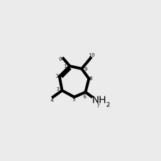 CC1=CC(C)CC(N)CC1C